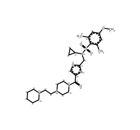 COc1cc(C)c(S(=O)(=O)N(Cc2nc(C(=O)N3CCN(CCN4CCCCC4)CC3)co2)C2CC2)c(C)c1